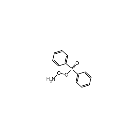 NOOP(=O)(c1ccccc1)c1ccccc1